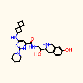 O=C(NCC(O)[C@@H]1Cc2ccc(O)cc2CN1)c1cc(NC2CC3(CCC3)C2)nc(N2CCCCC2)n1